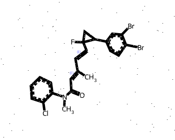 CC(/C=C/C1(F)CC1c1ccc(Br)c(Br)c1)=C\C(=O)N(C)c1ccccc1Cl